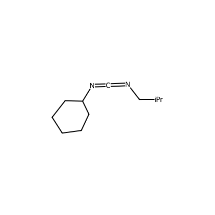 CC(C)CN=C=NC1CCCCC1